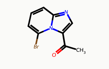 CC(=O)c1cnc2cccc(Br)n12